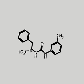 Cc1cccc(NC(=O)N[C@@H](Cc2ccccc2)C(=O)O)c1